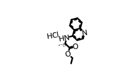 CCOC(=O)[C@H](C)Nc1ccnc2ccccc12.Cl